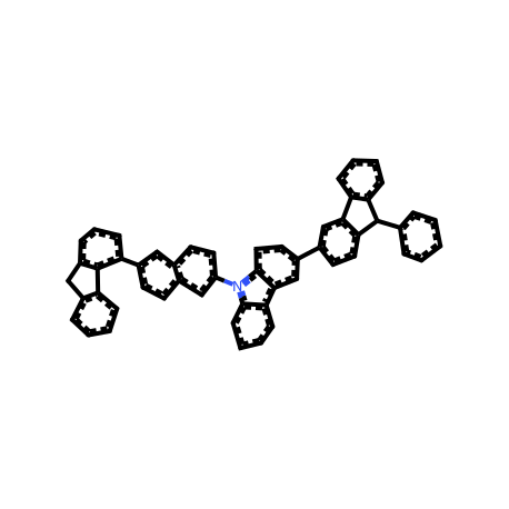 c1ccc(C2c3ccccc3-c3cc(-c4ccc5c(c4)c4ccccc4n5-c4ccc5cc(-c6cccc7c6-c6ccccc6C7)ccc5c4)ccc32)cc1